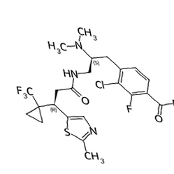 Cc1ncc([C@H](CC(=O)NC[C@H](Cc2ccc(C(N)=O)c(F)c2Cl)N(C)C)C2(C(F)(F)F)CC2)s1